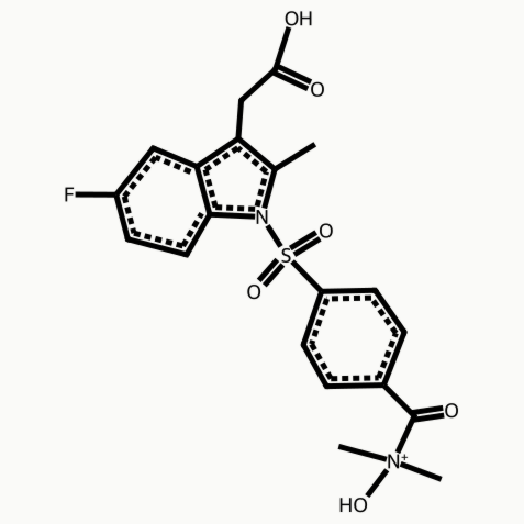 Cc1c(CC(=O)O)c2cc(F)ccc2n1S(=O)(=O)c1ccc(C(=O)[N+](C)(C)O)cc1